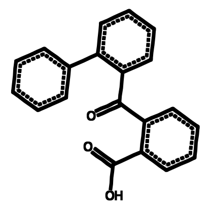 O=C(O)c1ccccc1C(=O)c1ccccc1-c1ccccc1